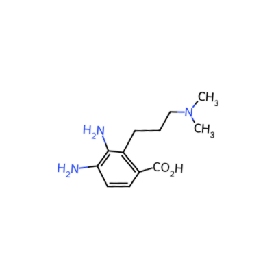 CN(C)CCCc1c(C(=O)O)ccc(N)c1N